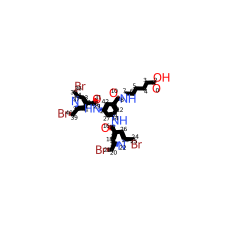 O=C(O)CCCCCNC(=O)c1cc(NC(=O)c2cc(CBr)nc(CBr)c2)cc(NC(=O)c2cc(CBr)nc(CBr)c2)c1